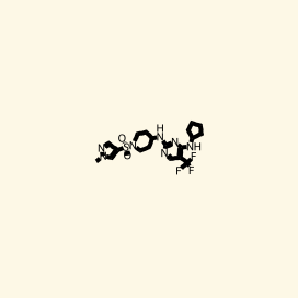 Cn1cc(S(=O)(=O)N2CCC(Nc3ncc(C(F)(F)F)c(NC4CCCC4)n3)CC2)cn1